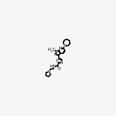 Cn1nc(-c2cnc(C(=O)NCCN3CCCC3)s2)c2ccc(N3CCCCCC3)nc21